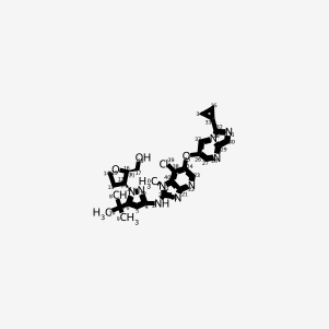 Cn1c(Nc2cc(C(C)(C)C)n([C@@H]3CCO[C@H]3CO)n2)nc2ncc(Oc3cnc4cnc(C5CC5)n4c3)c(Cl)c21